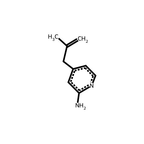 C=C(C)Cc1ccnc(N)c1